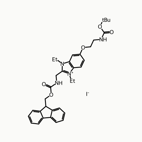 CCn1c(CNC(=O)OCC2c3ccccc3-c3ccccc32)[n+](CC)c2ccc(OCCNC(=O)OC(C)(C)C)cc21.[I-]